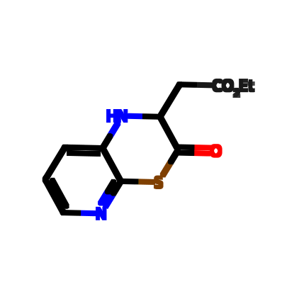 CCOC(=O)CC1Nc2cccnc2SC1=O